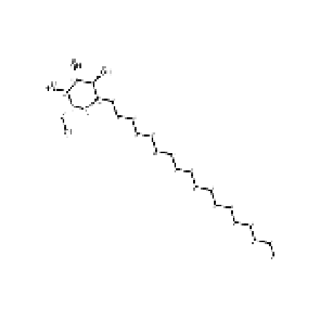 CCCCCCCCCCCCCCCCCC[C]1O[C@H](CO)[C@@H](O)[C@H](O)[C@H]1O